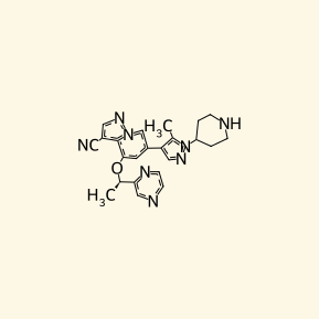 Cc1c(-c2cc(O[C@H](C)c3cnccn3)c3c(C#N)cnn3c2)cnn1C1CCNCC1